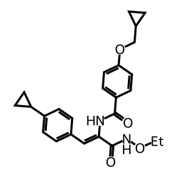 CCONC(=O)/C(=C/c1ccc(C2CC2)cc1)NC(=O)c1ccc(OCC2CC2)cc1